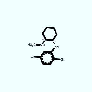 N#Cc1ccc(Cl)cc1N[C@H]1CCCC[C@@H]1NC(=O)O